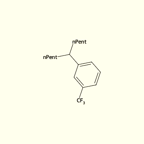 CCCCCC(CCCCC)c1cccc(C(F)(F)F)c1